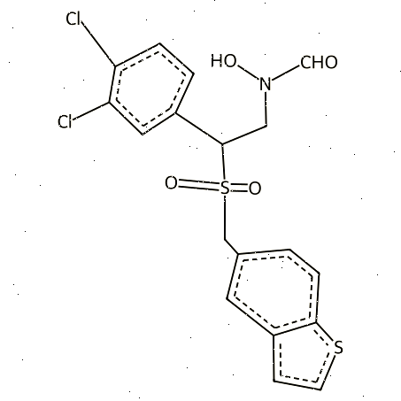 O=CN(O)CC(c1ccc(Cl)c(Cl)c1)S(=O)(=O)Cc1ccc2sccc2c1